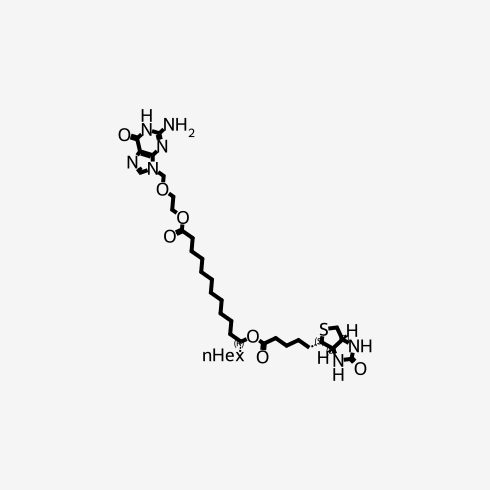 CCCCCC[C@H](CCCCCCCCCCC(=O)OCCOCn1cnc2c(=O)[nH]c(N)nc21)OC(=O)CCCC[C@@H]1SC[C@@H]2NC(=O)N[C@@H]21